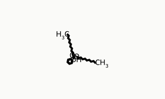 CCCCCCCCCCOP(O)OCCCCCCCCCC.c1ccccc1